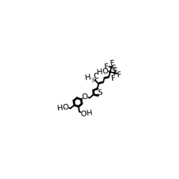 CC/C(=C\C=C\C(O)(C(F)(F)F)C(F)(F)F)c1cc(COc2ccc(CO)c(CO)c2)cs1